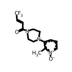 Cc1c(N2CCN(C(=O)/C=C/C(F)(F)F)CC2)ccc[n+]1[O-]